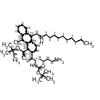 CCCCCCCCCCNCc1c2ccccc2c(Cl)c2c(C(=O)OC(C)(C)C)c(C(=O)[C@H](CCCCN)NC(=O)OC(C)(C)C)ccc12